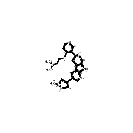 CN(C)CCOc1ccncc1-c1cc2c(cn1)[nH]c1ncc(-c3cnn(C)c3)cc12